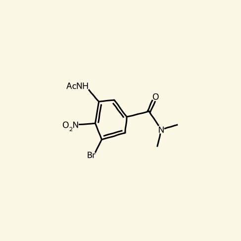 CC(=O)Nc1cc(C(=O)N(C)C)cc(Br)c1[N+](=O)[O-]